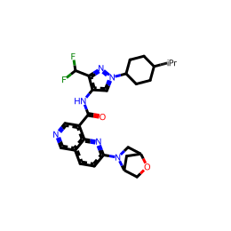 CC(C)C1CCC(n2cc(NC(=O)c3cncc4ccc(N5CC6CC5CO6)nc34)c(C(F)F)n2)CC1